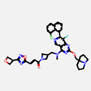 CN(CC1CN(C(=O)/C=C/c2nc(C3COC3)no2)C1)c1nc(OCC23CCCN2CCC3)nc2c(F)c(-c3cccc4cccc(Cl)c34)ncc12